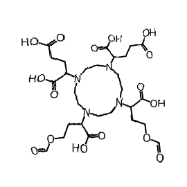 O=COCCC(C(=O)O)N1CCN(C(CCOC=O)C(=O)O)CCN(C(CCC(=O)O)C(=O)O)CCN(C(CCC(=O)O)C(=O)O)CC1